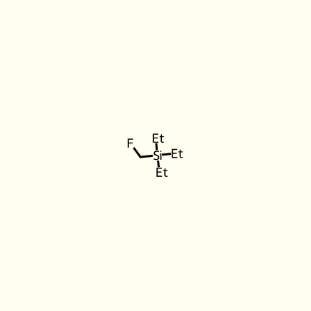 CC[Si](CC)(CC)CF